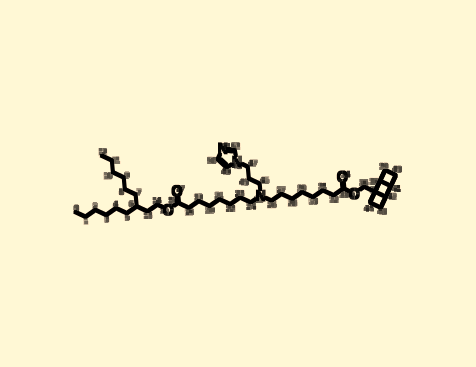 CCCCCCC(CCCCCC)CCOC(=O)CCCCCCCN(CCCCCCCC(=O)OCC12C3C4C5C3C1C5C42)CCCn1ccnc1